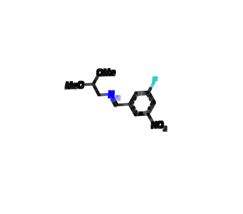 COC(C/N=C/c1cc(F)cc([N+](=O)[O-])c1)OC